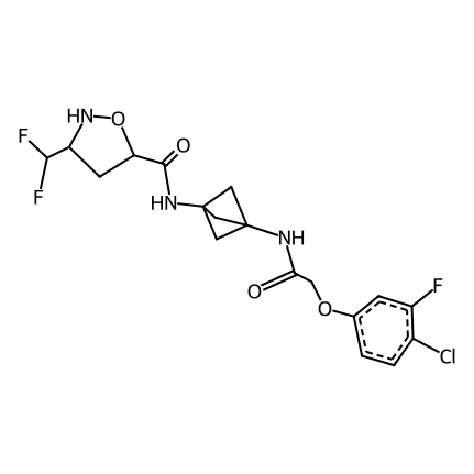 O=C(COc1ccc(Cl)c(F)c1)NC12CC(NC(=O)C3CC(C(F)F)NO3)(C1)C2